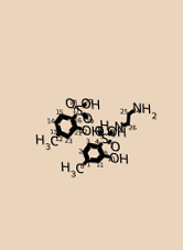 Cc1ccc(S(=O)(=O)O)c(O)c1.Cc1ccc(S(=O)(=O)O)c(O)c1.NCCN